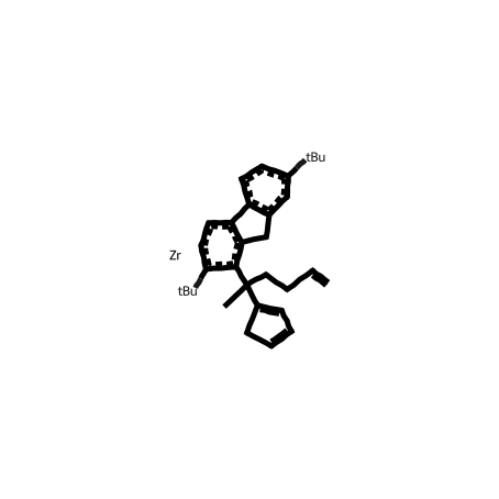 C=CCCC(C)(C1=CC=CC1)c1c(C(C)(C)C)ccc2c1Cc1cc(C(C)(C)C)ccc1-2.[Zr]